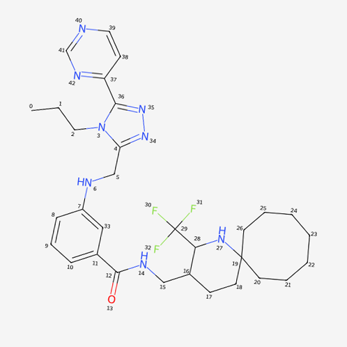 CCCn1c(CNc2cccc(C(=O)NCC3CCC4(CCCCCCC4)NC3C(F)(F)F)c2)nnc1-c1ccncn1